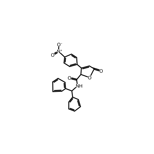 O=C1C=C(c2ccc([N+](=O)[O-])cc2)C(C(=O)NC(c2ccccc2)c2ccccc2)O1